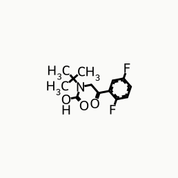 CC(C)(C)N(CC(=O)c1cc(F)ccc1F)C(=O)O